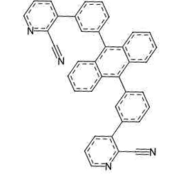 N#Cc1ncccc1-c1cccc(-c2c3ccccc3c(-c3cccc(-c4cccnc4C#N)c3)c3ccccc23)c1